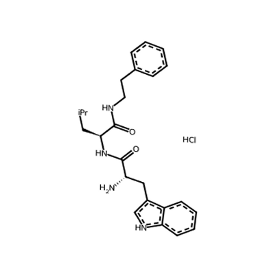 CC(C)C[C@H](NC(=O)[C@@H](N)Cc1c[nH]c2ccccc12)C(=O)NCCc1ccccc1.Cl